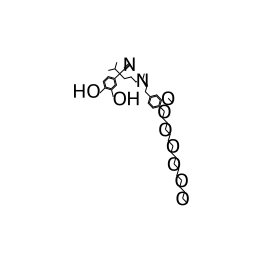 COCCOCCOCCOCCOCCOc1ccc(CCN(C)CCCC(C#N)(c2ccc(CO)c(CO)c2)C(C)C)cc1OC